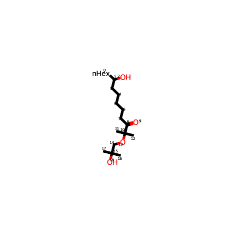 CCCCCCC(O)CCCCCC(=O)C(C)(C)OCC(C)(C)O